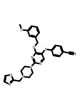 COc1cccc(COc2nc(N3CCN(Cc4ncco4)CC3)ncc2Sc2ccc(C#N)cc2)c1